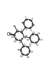 Cc1c(-c2ccccc2)n(-c2ccccc2)c(-c2ccccc2)cc1=O